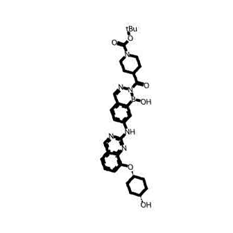 CC(C)(C)OC(=O)N1CCC(C(=O)N2N=Cc3ccc(Nc4ncc5cccc(O[C@H]6CC[C@@H](O)CC6)c5n4)cc3B2O)CC1